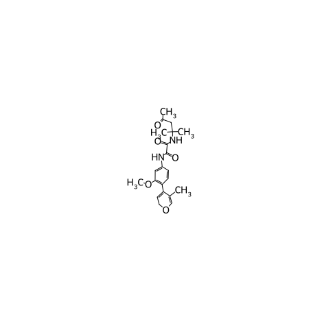 COc1cc(NC(=O)C(=O)NC(C)(C)CC(C)=O)ccc1C1=CCOC=C1C